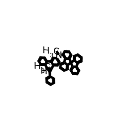 CN(c1ccc2c(c1)-c1ccccc1[C@@H]1C(c3ccccc3)C21C)c1cccc2c1-c1ccccc1C21c2ccccc2-c2ccccc21